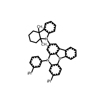 CC(C)c1cccc(N2c3cc(C(C)C)ccc3B3c4ccccc4-c4cc(N5c6ccccc6C6(C)CCCCC56C)cc2c43)c1